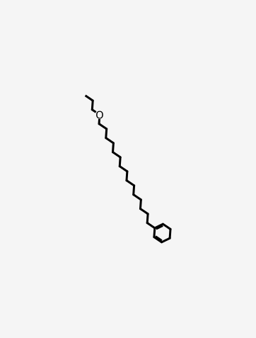 CCCOCCCCCCCCCCCCCCCC1=CCCC=C1